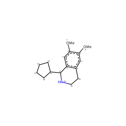 COc1cc2c(cc1OC)C(C1CCCC1)NCC2